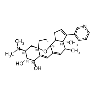 CC1C=C2C=C3[C@@H](O)[C@H](O)[C@@H](N(C)C)C[C@]34CC[C@]2(O4)C2CC=C(c3cccnc3)[C@@]12C